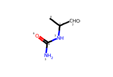 CC([C]=O)NC(N)=O